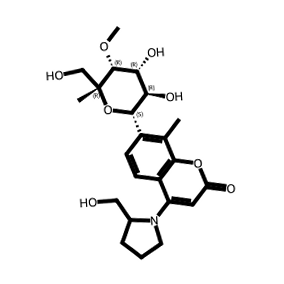 CO[C@@H]1[C@H](O)[C@@H](O)[C@H](c2ccc3c(N4CCCC4CO)cc(=O)oc3c2C)O[C@]1(C)CO